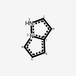 [c]1c[nH]n2cccc12